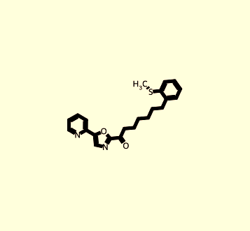 CSc1ccccc1CCCCCCC(=O)c1ncc(-c2ccccn2)o1